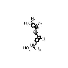 CCn1nc(-c2nc(-n3cc(Cl)c4cc(CNC(C)C(=O)O)ccc43)no2)c2c1CC(C)(C)CC2